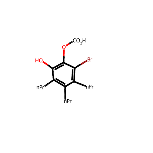 CCCc1c(O)c(OC(=O)O)c(Br)c(CCC)c1CCC